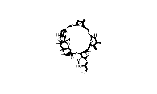 C=C1CC2CC[C@@]34C[C@H]5O[C@H]6C(O3)[C@H]3OC(CCC3O[C@H]6C5O4)CC(=O)CC3[C@H](C[C@H]4O[C@@H](CCC1O2)CC(C)C4=C)O[C@H](CC(O)CO)[C@@H]3OC